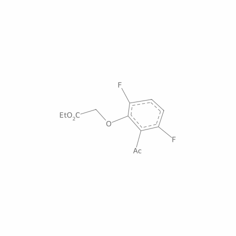 CCOC(=O)COc1c(F)ccc(F)c1C(C)=O